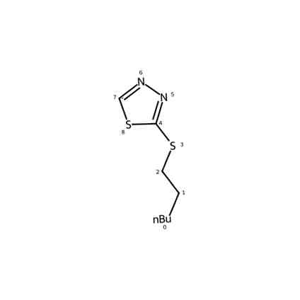 CCCCCCSc1nn[c]s1